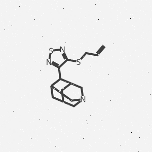 C=CCSc1nsnc1C1C2CC3CC1CN(C3)C2